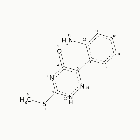 CSc1nc(=O)c(-c2ccccc2N)n[nH]1